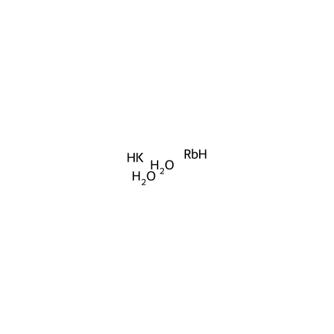 O.O.[KH].[RbH]